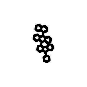 c1ccc(-n2c3ccccc3c3c(-c4c5ccccc5c(-c5cccc6ccccc56)c5ccccc45)cccc32)cc1